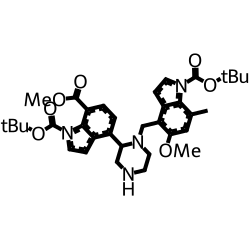 COC(=O)c1ccc(C2CNCCN2Cc2c(OC)cc(C)c3c2ccn3C(=O)OC(C)(C)C)c2ccn(C(=O)OC(C)(C)C)c12